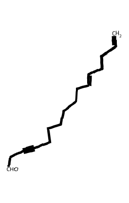 C=CCCC=CCCCCCCC#CCC=O